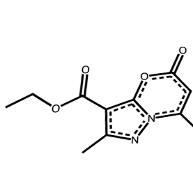 CCOC(=O)c1c(C)nn2c(C)cc(=O)oc12